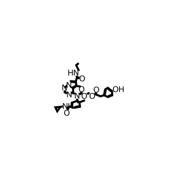 CCCNC(=O)c1cn2ncnc(N(C(=O)OCOC(=O)Cc3ccc(O)cc3)c3cc(C(=O)NC4CC4)ccc3C)c2c1C